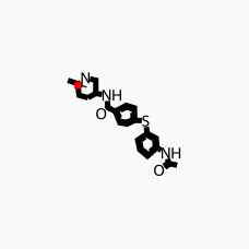 CC(=O)Nc1cccc(Sc2ccc(C(=O)NC3CN4CCC3CC4C)cc2)c1